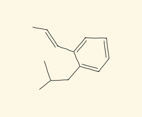 CC=Cc1ccccc1CC(C)C